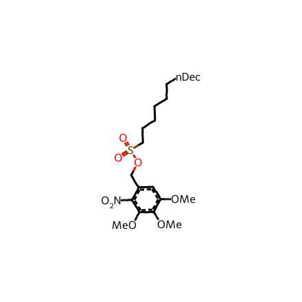 CCCCCCCCCCCCCCCCS(=O)(=O)OCc1cc(OC)c(OC)c(OC)c1[N+](=O)[O-]